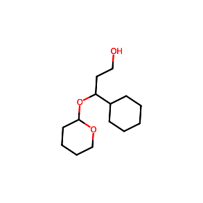 OCCC(OC1CCCCO1)C1CCCCC1